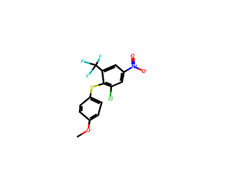 COc1ccc(Sc2c(Cl)cc([N+](=O)[O-])cc2C(F)(F)F)cc1